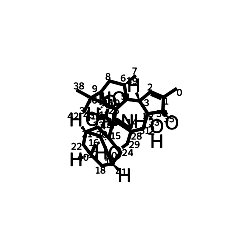 CC1=C[C@H]2[C@@]3(O)[C@H](C)C[C@]4(OC(=O)[C@@H](N)[C@]56C[C@H]7C[C@H](C[C@H](C7)C5)C6)[C@@H]([C@@H]3C=C(CO)C[C@]2(O)C1=O)C4(C)C